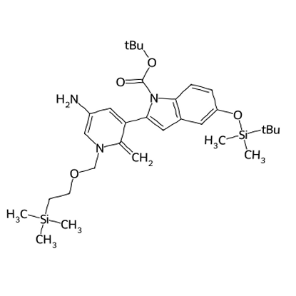 C=C1C(c2cc3cc(O[Si](C)(C)C(C)(C)C)ccc3n2C(=O)OC(C)(C)C)=CC(N)=CN1COCC[Si](C)(C)C